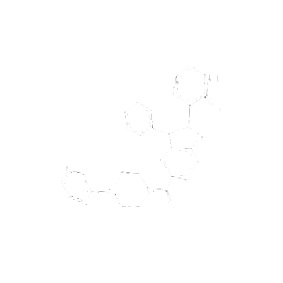 O=C(c1ccc2c(c1)C(c1ccccc1)C(c1ccc[nH]c1=O)N2)N1CCN(c2cnccn2)CC1